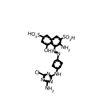 Nc1nc(Cl)nc(Nc2ccc(N=Nc3c(N)c(S(=O)(=O)O)cc4cc(S(=O)(=O)O)cc(O)c34)cc2)n1